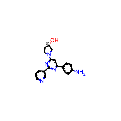 Nc1ccc(-c2cc(N3CC[C@H](O)C3)nc(-c3cccnc3)n2)cc1